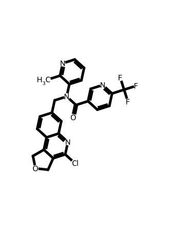 Cc1ncccc1N(Cc1ccc2c3c(c(Cl)nc2c1)COC3)C(=O)c1ccc(C(F)(F)F)nc1